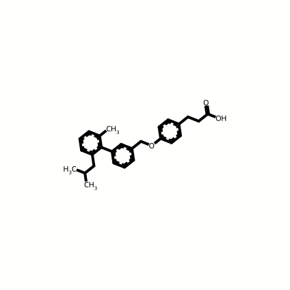 Cc1cccc(CC(C)C)c1-c1cccc(COc2ccc(CCC(=O)O)cc2)c1